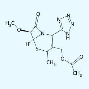 CO[C@H]1C(=O)N2C(c3nnn[nH]3)=C(COC(C)=O)C(C)S[C@@H]12